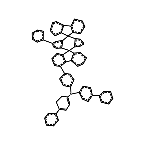 C1=C(c2ccccc2)CCC(N(c2ccc(-c3ccccc3)cc2)c2ccc(-c3cccc4c3-c3ccccc3C43c4ccccc4C4(c5ccccc5-c5ccccc54)c4cc(-c5ccccc5)ccc43)cc2)=C1